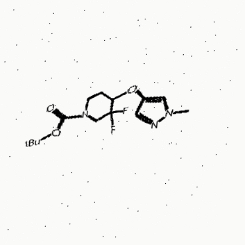 Cn1cc(OC2CCN(C(=O)OC(C)(C)C)CC2(F)F)cn1